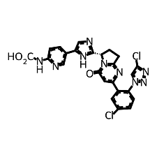 O=C(O)Nc1ccc(-c2cnc([C@@H]3CCc4nc(-c5cc(Cl)ccc5-n5cc(Cl)nn5)cc(=O)n43)[nH]2)cn1